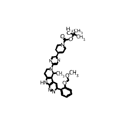 COCOc1ccccc1-c1cc2c3c([nH]c2nn1)CCN(c1cnc(C2=CCN(C(=O)OC(C)(C)C)CC2)cn1)C3C